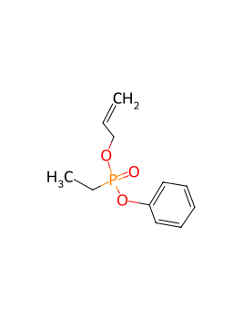 C=CCOP(=O)(CC)Oc1ccccc1